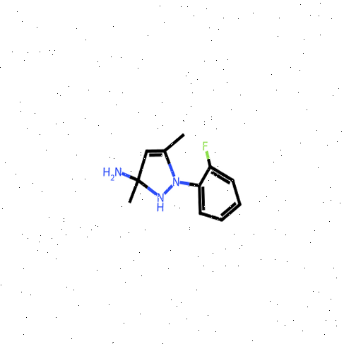 CC1=CC(C)(N)NN1c1ccccc1F